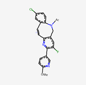 COc1ccc(-c2nc3c(cc2F)CN(C(C)=O)c2ccc(Cl)cc2/C=C\3)cn1